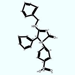 O=C1N=C(NCc2ccccc2)C(c2ccccc2)N1c1ccc([N+](=O)[O-])cc1